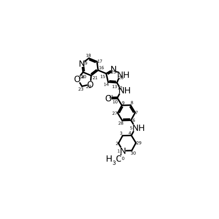 CN1CCC(Nc2ccc(C(=O)Nc3cc(-c4ccnc5c4OCO5)n[nH]3)cc2)CC1